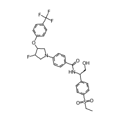 CCS(=O)(=O)c1ccc([C@H](CO)NC(=O)c2ccc(N3CC(F)C(Oc4ccc(C(F)(F)F)cc4)C3)cc2)cc1